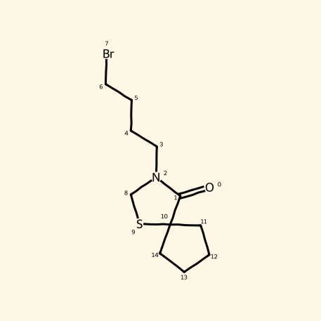 O=C1N(CCCCBr)CSC12CCCC2